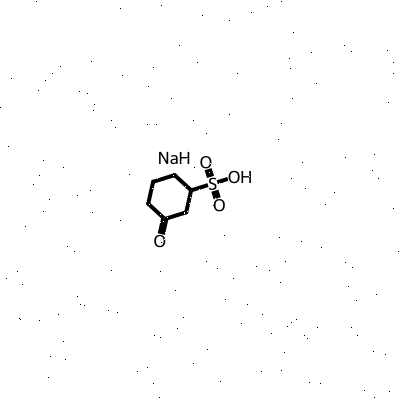 O=C1CCCC(S(=O)(=O)O)C1.[NaH]